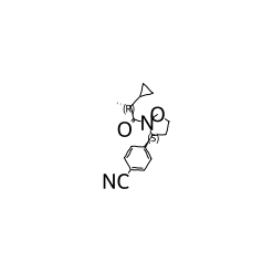 C[C@@H](C(=O)N1OCC[C@H]1c1ccc(C#N)cc1)C1CC1